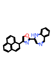 C1=CC(c2coc(C3=CN=Cc4ccccc4N3)n2)c2cccc3cccc1c23